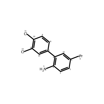 CC(C)c1ccc(N)c(-c2ccc(Cl)c(Cl)c2)c1